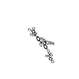 COC(=O)c1cc(OCC(=O)Nc2ccc(Cl)cc2)ccc1NC(=O)c1ccc(-c2nc3cc(Cl)c(Cl)cc3[nH]2)cc1